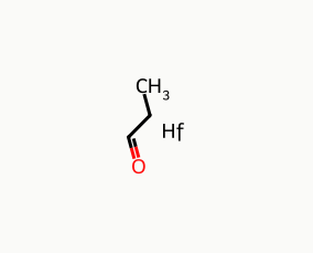 CCC=O.[Hf]